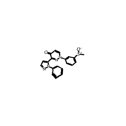 C[S+]([O-])c1cccc(-n2ccc(=O)c(-c3ccnn3-c3ccccc3)n2)c1